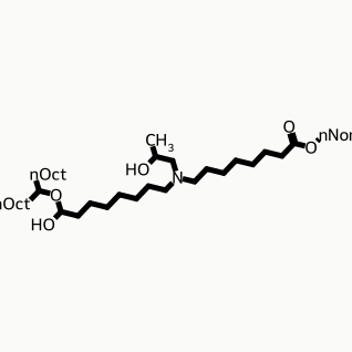 CCCCCCCCCOC(=O)CCCCCCCN(CCCCCCCC(O)OC(CCCCCCCC)CCCCCCCC)CC(C)O